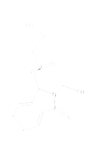 CCCC(=O)OC1c2ccccc2C(=O)N1CC